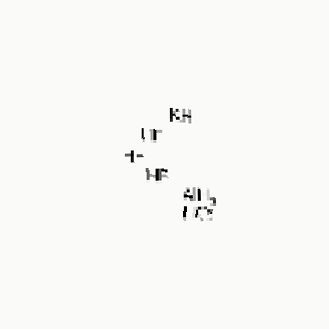 F.F.F.[AlH3].[CsH].[KH]